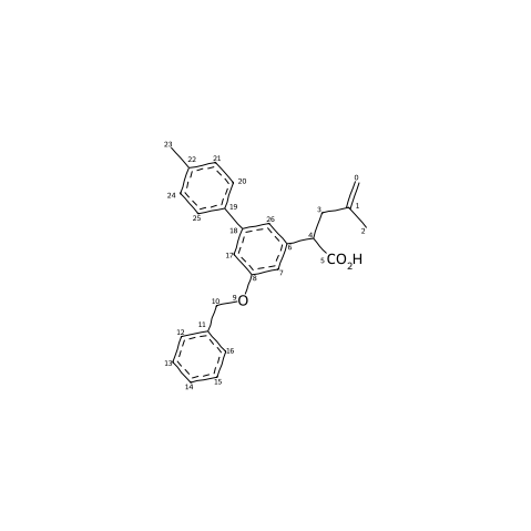 C=C(C)CC(C(=O)O)c1cc(OCc2ccccc2)cc(-c2ccc(C)cc2)c1